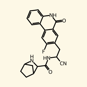 N#CC(Cc1cc2c(=O)[nH]c3ccccc3c2cc1F)NC(=O)C1NC2CCC1C2